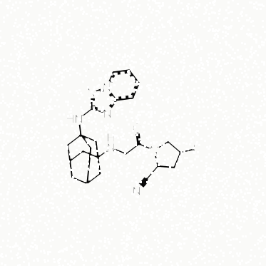 N#CC1CC(F)CN1C(=O)CNC12CC3CC(C1)CC(Nc1nc4ccccn4n1)(C3)C2